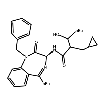 CCCCC1=N[C@H](NC(=O)C(CC2CC2)C(O)CCCC)C(=O)N(Cc2ccccc2)c2ccccc21